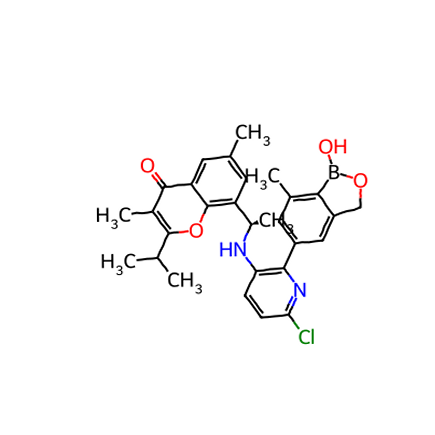 Cc1cc([C@@H](C)Nc2ccc(Cl)nc2-c2cc(C)c3c(c2)COB3O)c2oc(C(C)C)c(C)c(=O)c2c1